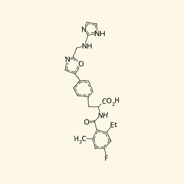 CCc1cc(F)cc(C)c1C(=O)NC(Cc1ccc(-c2cnc(CNc3ncc[nH]3)o2)cc1)C(=O)O